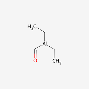 C[CH2][Al]([CH]=O)[CH2]C